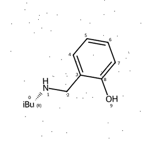 CC[C@@H](C)NCc1ccccc1O